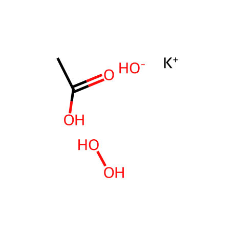 CC(=O)O.OO.[K+].[OH-]